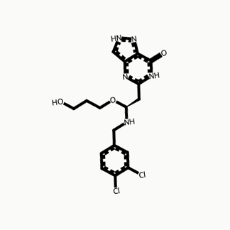 O=c1[nH]c(C[C@@H](NCc2ccc(Cl)c(Cl)c2)OCCCO)nc2c[nH]nc12